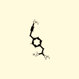 [CH2]C#CCc1ccc(CC(C)C)cc1